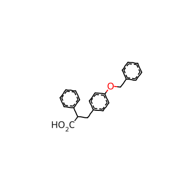 O=C(O)C(Cc1ccc(OCc2ccccc2)cc1)c1ccccc1